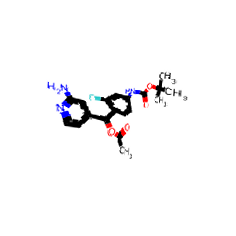 CC(=O)OC(c1ccnc(N)c1)c1ccc(NC(=O)OC(C)(C)C)cc1F